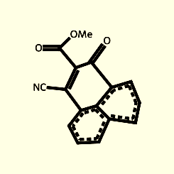 COC(=O)C1=C(C#N)c2cccc3cccc(c23)C1=O